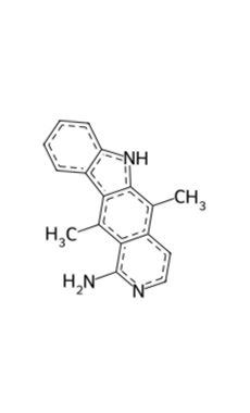 Cc1c2ccnc(N)c2c(C)c2c1[nH]c1ccccc12